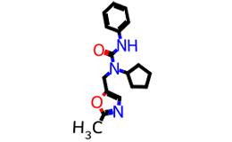 Cc1ncc(CN(C(=O)Nc2ccccc2)C2CCCC2)o1